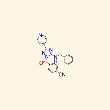 N#Cc1ccc(C(=O)n2nc(-c3ccncc3)nc2NCc2ccccc2)cc1